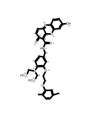 Cc1ccc(C)c(OCCOc2cc(CNC(=O)c3c4oc5cc(O)ccc5nc-4ccc3=O)ccc2N(CC(=O)O)CC(=O)O)c1